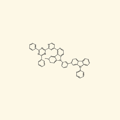 CC1C=c2c(n(-c3cccc(-c4ccc5c6ccccc6n(-c6ccccc6)c5c4)c3)c3cccc(-c4ccnc(-c5nc(-c6ccccc6)nc(-c6ccccc6)n5)c4)c23)=CC1